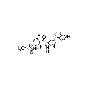 CCCS(=O)(=O)Nc1ccc(F)c(C(=O)c2c[nH]c3ncc(-c4cccc5[nH]ccc45)cc23)c1F